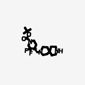 CC(C)(C)OC(=O)N1CC[C@@H](CN2CCC3(CCNCC3)CC2)C(F)(F)C1